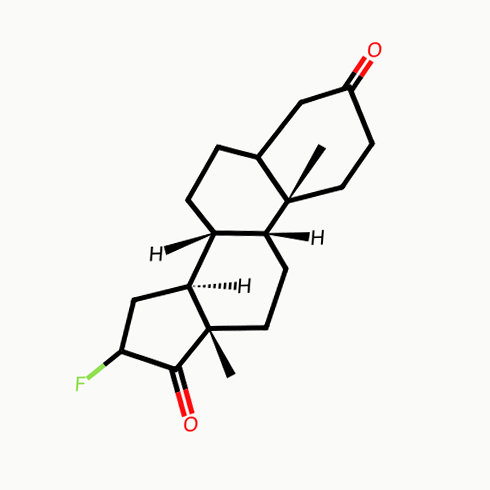 C[C@]12CCC(=O)CC1CC[C@@H]1[C@H]2CC[C@]2(C)C(=O)C(F)C[C@@H]12